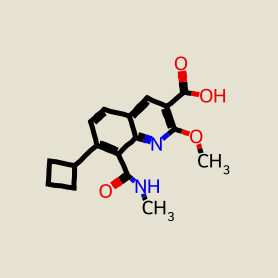 CNC(=O)c1c(C2CCC2)ccc2cc(C(=O)O)c(OC)nc12